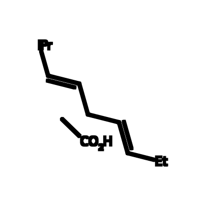 CC(=O)O.CCC=CCC=CC(C)C